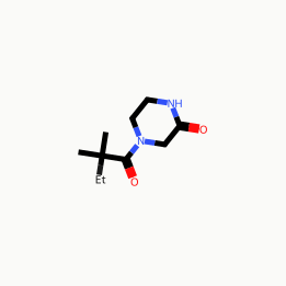 CCC(C)(C)C(=O)N1CCNC(=O)C1